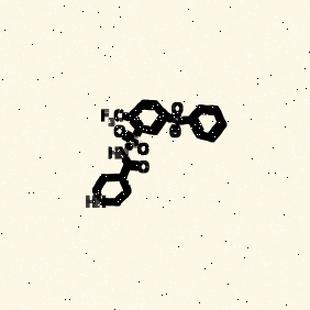 O=C(NS(=O)(=O)c1cc(S(=O)(=O)c2ccccc2)ccc1C(F)(F)F)C1CCNCC1